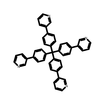 c1cncc(-c2ccc(C(c3ccc(-c4cccnc4)cc3)(c3ccc(-c4cccnc4)cc3)c3ccc(-c4cccnc4)cc3)cc2)c1